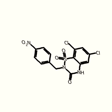 O=C1Nc2cc(Cl)cc(Cl)c2S(=O)(=O)N1Cc1ccc([N+](=O)[O-])cc1